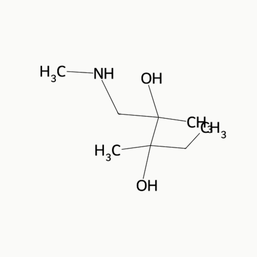 CCC(C)(O)C(C)(O)CNC